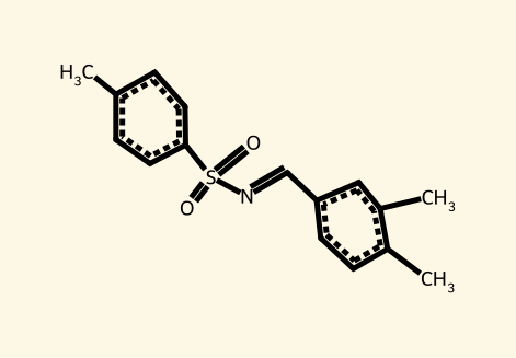 Cc1ccc(S(=O)(=O)/N=C/c2ccc(C)c(C)c2)cc1